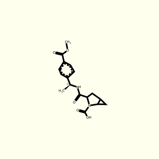 COC(=O)c1ccc([C@H](C)NC(=O)C2CC3CC3N2C(=O)O)cc1